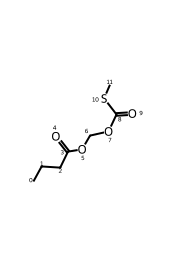 CCCC(=O)OCOC(=O)SC